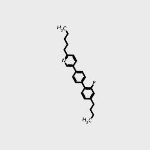 CCCCCc1ccc(-c2ccc(-c3ccc(CCCC)cc3F)cc2)cn1